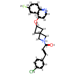 O=C(/C=C/c1ccc(Cl)cc1)N1CC2(CC(Oc3ccnc4ccc(F)cc34)C2)C1